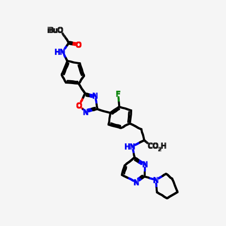 CC(C)COC(=O)Nc1ccc(-c2nc(-c3ccc(CC(Nc4ccnc(N5CCCCC5)n4)C(=O)O)cc3F)no2)cc1